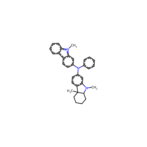 CN1c2cc(N(c3ccccc3)c3ccc4c5ccccc5n(C)c4c3)ccc2C2(C)CCCCC12